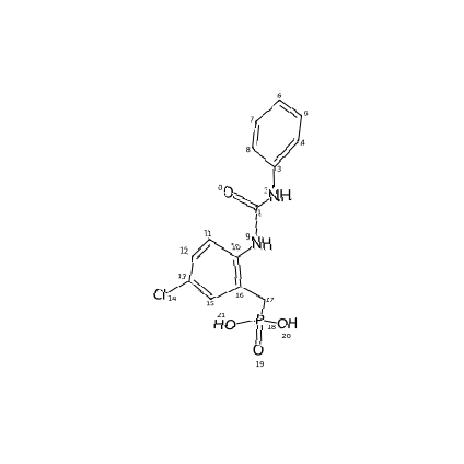 O=C(Nc1ccccc1)Nc1ccc(Cl)cc1CP(=O)(O)O